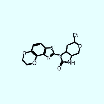 CCC1CC2C(CO1)NC(=O)N2c1nc2c3c(ccc2s1)OCCO3